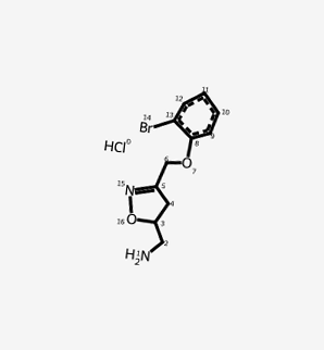 Cl.NCC1CC(COc2ccccc2Br)=NO1